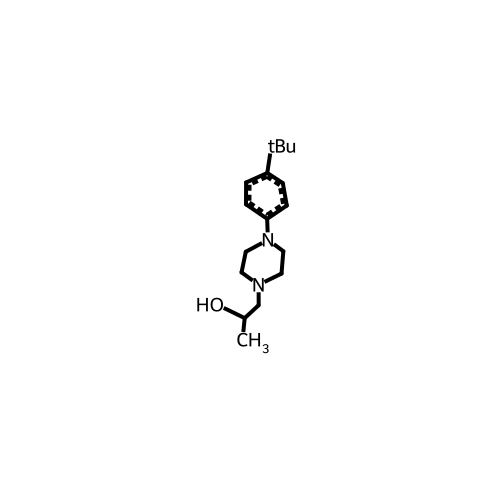 CC(O)CN1CCN(c2ccc(C(C)(C)C)cc2)CC1